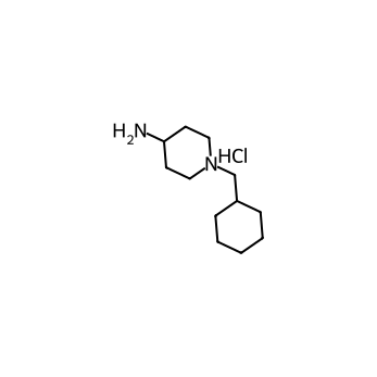 Cl.NC1CCN(CC2CCCCC2)CC1